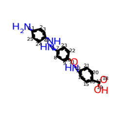 Nc1ccc(NNc2ccc(ONc3ccc(C(=O)O)cc3)cc2)cc1